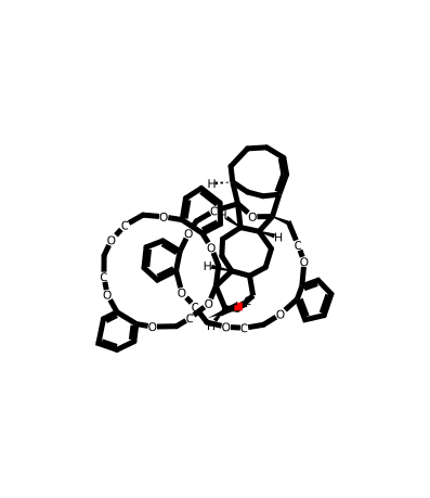 C1=CCCC[C@H]2CCC=1[C@@]13CCOc4ccccc4OCCOCCOc4ccccc4OCCC2(O1)[C@H]1CC[C@@H]2C(CC[C@H]13)C1CCCCCC[C@@H](C1)C21COc2ccccc2OCCOCCOc2ccccc2OCCO1